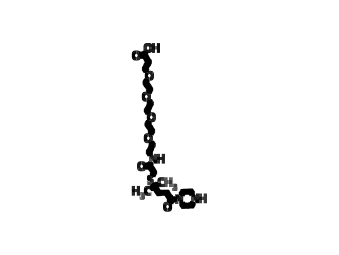 CC(C)(CCC(=O)N1CCNCC1)SCC(=O)NCCOCCOCCOCCOCCC(=O)O